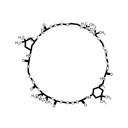 CC1(C)CC2CC(C)(CNC(=O)OCCOCCC[Si](C)(C)O[Si](C)(C)CCCOCCOC(=O)NCC3(C)CC(CC(C)(C)C3)NC(=O)OCCOC(=O)CC(C)(C)C(C)(C)CC(=O)OCCOC(=O)N2)C1